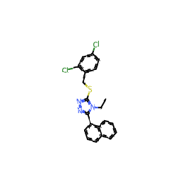 CCn1c(SCc2ccc(Cl)cc2Cl)nnc1-c1cccc2ccccc12